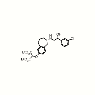 CCOC(=O)C(Oc1ccc2c(c1)CCC[C@H](NC[C@H](O)c1cccc(Cl)c1)C2)C(=O)OCC